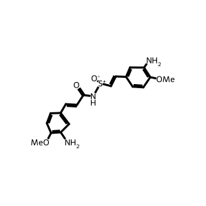 COc1ccc(C=CC(=O)N[S+]([O-])C=Cc2ccc(OC)c(N)c2)cc1N